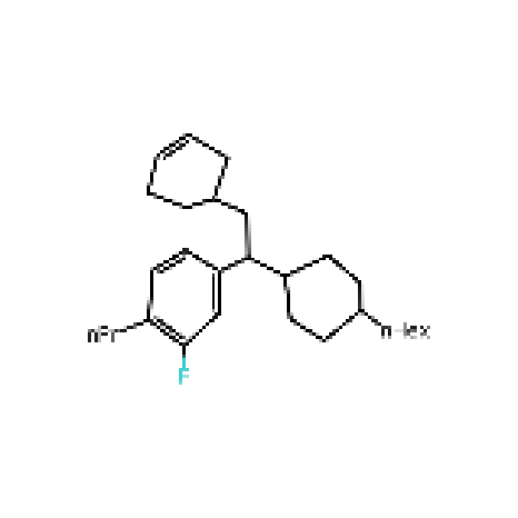 CCCCCCC1CCC(C(CC2CC=CCC2)c2ccc(CCC)c(F)c2)CC1